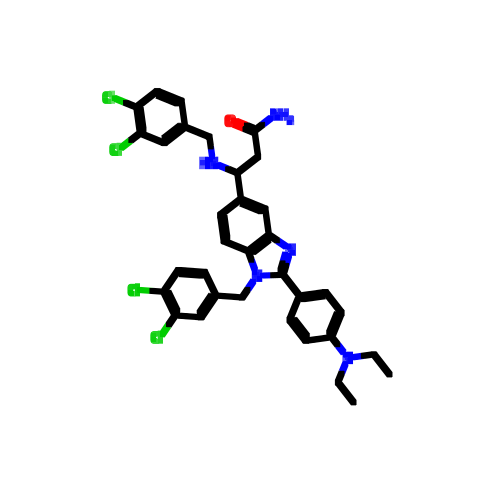 CCN(CC)c1ccc(-c2nc3cc(C(CC(N)=O)NCc4ccc(Cl)c(Cl)c4)ccc3n2Cc2ccc(Cl)c(Cl)c2)cc1